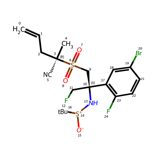 C=CC[C@](C)(C#N)S(=O)(=O)C[C@](CF)(N[S+]([O-])C(C)(C)C)c1cc(Br)ccc1F